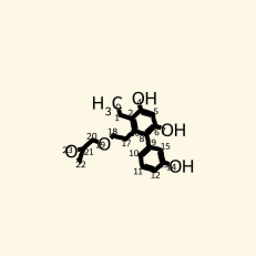 CCc1c(O)cc(O)c(-c2cccc(O)c2)c1CCOCC1CO1